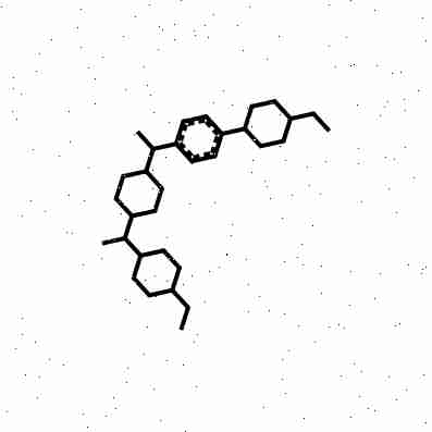 CCC1CCC(c2ccc(C(C)C3CCC(C(C)C4CCC(CC)CC4)CC3)cc2)CC1